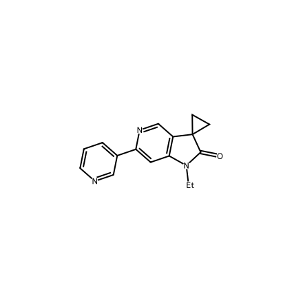 CCN1C(=O)C2(CC2)c2cnc(-c3cccnc3)cc21